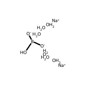 O.O.O.O.O.O.[Na+].[Na+].[O-]B([O-])O